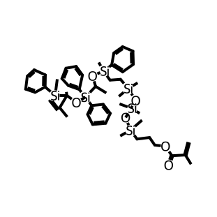 C=C[Si](C)(c1ccccc1)C(C)(CC)O[Si](c1ccccc1)(c1ccccc1)C(C)O[Si](C)(CC[Si](C)(C)O[Si](C)(C)O[Si](C)(C)CCCOC(=O)C(=C)C)c1ccccc1